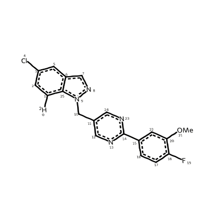 [2H]c1cc(Cl)cc2cnn(Cc3cnc(-c4ccc(F)c(OC)c4)nc3)c12